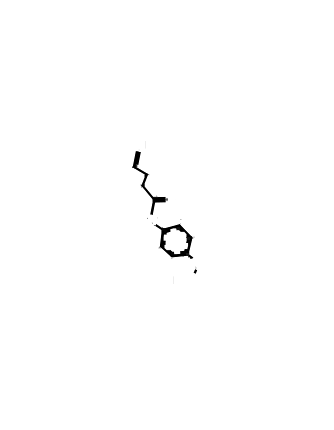 C=CCCC(=O)Nc1ccc(OC)cc1